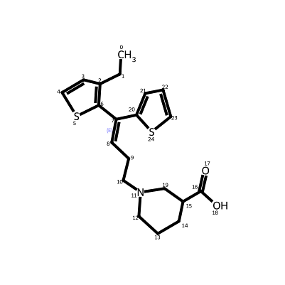 CCc1ccsc1/C(=C/CCN1CCCC(C(=O)O)C1)c1cccs1